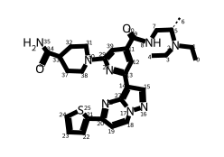 CCN(CC)[C@@H](C)CNC(=O)c1cc(-c2cnn3ccc(-c4cccs4)nc23)nc(N2CCC(C(N)=O)CC2)c1